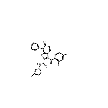 CN1CC[C@@H](NC(=O)c2sc3c(ccc(=O)n3-c3ccccc3)c2Nc2ccc(F)cc2F)C1